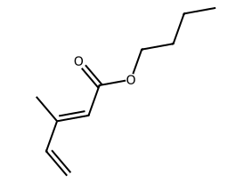 C=CC(C)=CC(=O)OCCCC